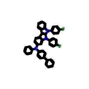 Fc1ccc(-n2c3ccccc3c3c4ccc(N(c5ccccc5)c5ccc(-c6ccccc6)cc5)cc4n(-c4ccc(F)cc4)c32)cc1